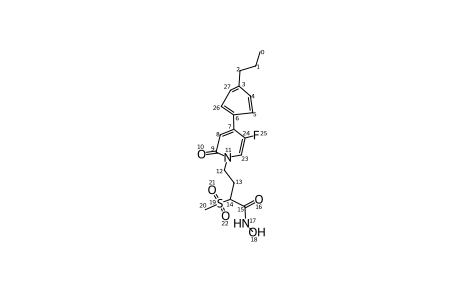 CCCc1ccc(-c2cc(=O)n(CCC(C(=O)NO)S(C)(=O)=O)cc2F)cc1